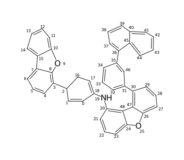 C1=CC(c2cccc3c2oc2ccccc23)CC=C1Nc1cccc2oc3cccc(-c4cccc(-c5cccc6ccccc56)c4)c3c12